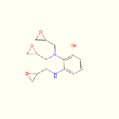 Oc1cccc(NCC2CO2)c1N(CC1CO1)CC1CO1